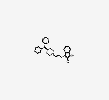 O=c1[nH]c2ccccc2n1CC=CN1CCC(=C(c2ccccc2)c2ccccc2)CC1